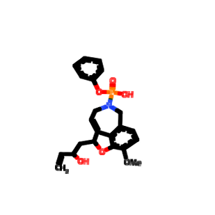 C=CC(O)CC1Oc2c(OC)ccc3c2C1=CCN(P(=O)(O)Oc1ccccc1)C3